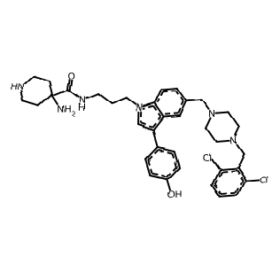 NC1(C(=O)NCCCn2cc(-c3ccc(O)cc3)c3cc(CN4CCN(Cc5c(Cl)cccc5Cl)CC4)ccc32)CCNCC1